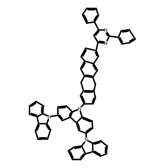 c1ccc(-c2cc(-c3ccc4cc5c(cc4c3)Cc3ccc(-n4c6ccc(-n7c8ccccc8c8ccccc87)cc6c6cc(-n7c8ccccc8c8ccccc87)ccc64)cc3C5)nc(-c3ccccc3)n2)cc1